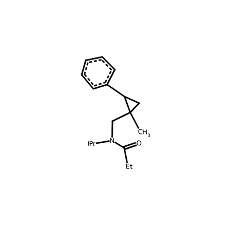 CCC(=O)N(CC1(C)CC1c1ccccc1)C(C)C